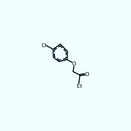 CCC(=O)COc1ccc(Cl)cc1